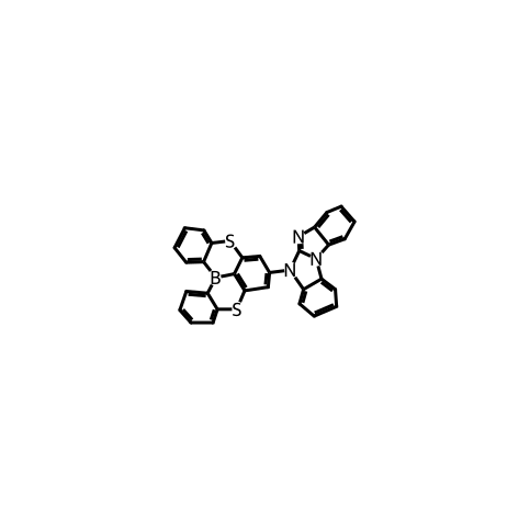 c1ccc2c(c1)Sc1cc(-n3c4ccccc4n4c5ccccc5nc34)cc3c1B2c1ccccc1S3